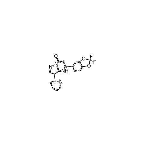 O=c1cc(-c2ccc3c(c2)OC(F)(F)O3)[nH]c2c(-c3ccccn3)cnn12